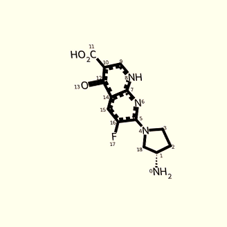 N[C@H]1CCN(c2nc3[nH]cc(C(=O)O)c(=O)c3cc2F)C1